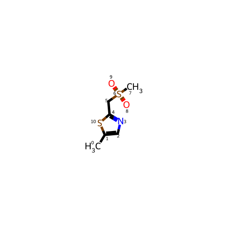 Cc1cnc(CS(C)(=O)=O)s1